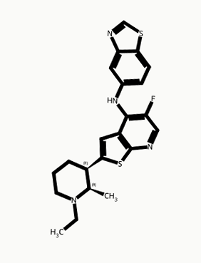 CCN1CCC[C@@H](c2cc3c(Nc4ccc5scnc5c4)c(F)cnc3s2)[C@H]1C